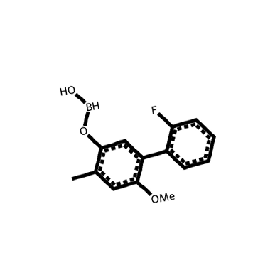 COc1cc(C)c(OBO)cc1-c1ccccc1F